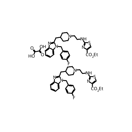 CCOC(=O)c1csc(NCCN2CCC(Cc3nc4ccccc4n3Cc3ccc(F)cc3)CC2)n1.CCOC(=O)c1csc(NCCN2CCC(Cc3nc4ccccc4n3Cc3ccc(F)cc3)CC2)n1.O=C(O)C(=O)O